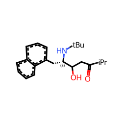 CC(C)C(=O)CC(O)[C@H](Cc1cccc2ccccc12)NC(C)(C)C